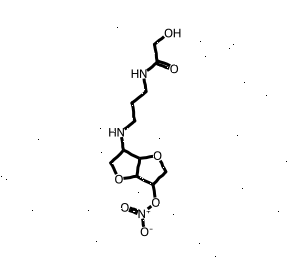 O=C(CO)NCCCNC1COC2C(O[N+](=O)[O-])COC12